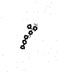 [3H]c1cccc(N(c2ccccc2)c2ccc(Oc3cccc(-c4ccc(-c5ccccc5)cc4)c3)cc2)c1